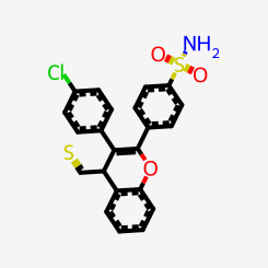 NS(=O)(=O)c1ccc(C2=C(c3ccc(Cl)cc3)C(C=S)c3ccccc3O2)cc1